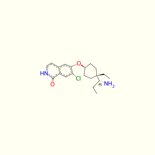 CC[C@@H](N)[C@]1(CC)CC[C@@H](Oc2cc3cc[nH]c(=O)c3cc2Cl)CC1